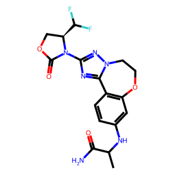 CC(Nc1ccc2c(c1)OCCn1nc(N3C(=O)OC[C@H]3C(F)F)nc1-2)C(N)=O